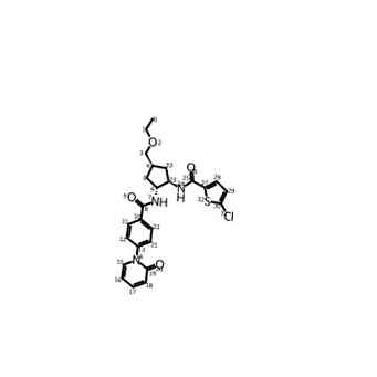 CCOC[C@@H]1C[C@@H](NC(=O)c2ccc(-n3ccccc3=O)cc2)[C@H](NC(=O)c2ccc(Cl)s2)C1